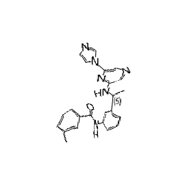 Cc1cccc(C(=O)Nc2cccc([C@H](C)Nc3cncc(-n4ccnc4)n3)c2)c1